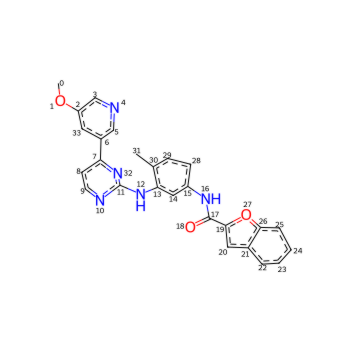 COc1cncc(-c2ccnc(Nc3cc(NC(=O)c4cc5ccccc5o4)ccc3C)n2)c1